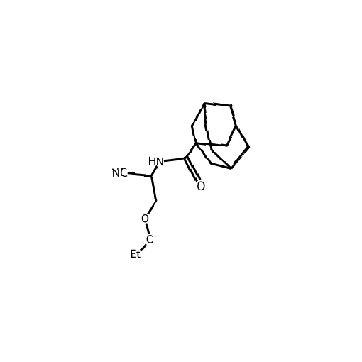 CCOOCC(C#N)NC(=O)C12CC3CC(CC(C3)C1)C2